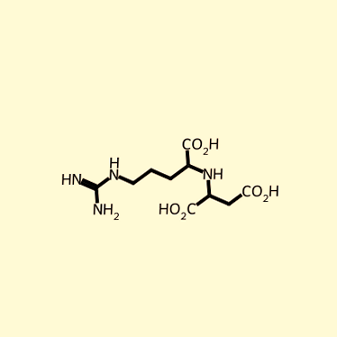 N=C(N)NCCCC(NC(CC(=O)O)C(=O)O)C(=O)O